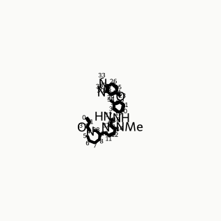 C=CC(=O)N1CCCCC(c2ccc(NC)c(C(=N)Nc3ccc(Oc4ccc5c(c4)ncn5C)c(C)c3)n2)C1